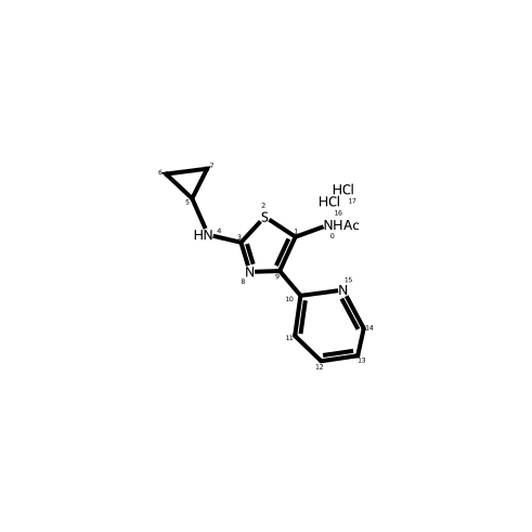 CC(=O)Nc1sc(NC2CC2)nc1-c1ccccn1.Cl.Cl